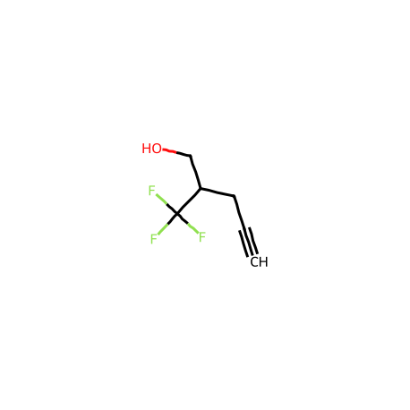 C#CCC(CO)C(F)(F)F